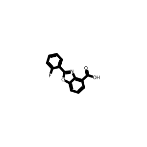 O=C(O)c1cccc2oc(-c3ccccc3F)nc12